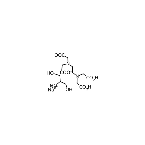 O=C([O-])CN(CCN(CC(=O)O)CC(=O)O)CC(=O)[O-].OCC(O)CO.[Na+].[Na+]